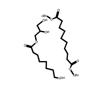 CCCCCCCCCCCCCCCCCC(=O)OCC(O)CO.CCCCOC(=O)CCCCCCCCC(=O)OCCCC